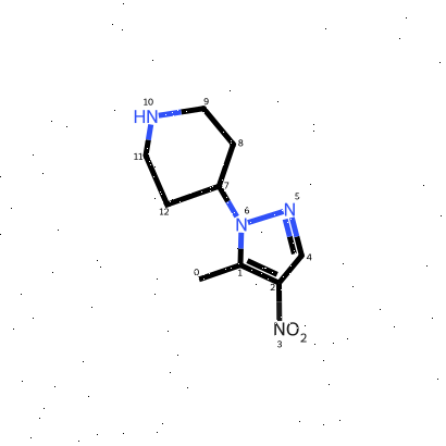 Cc1c([N+](=O)[O-])cnn1C1CCNCC1